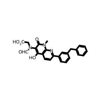 Cn1c(=O)c(N(C=O)CC(=O)O)c(O)c2ccc(-c3cccc(Cc4ccccc4)c3)nc21